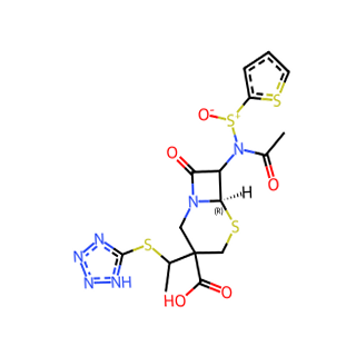 CC(=O)N(C1C(=O)N2CC(C(=O)O)(C(C)Sc3nnn[nH]3)CS[C@H]12)[S+]([O-])c1cccs1